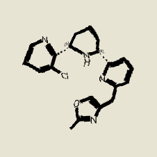 Cc1nc(Cc2cccc([C@H]3CCC[C@@H](c4ncccc4Cl)N3)n2)co1